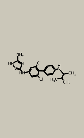 CC(C)C(C)Nc1ccc(-c2c(Cl)cc(Nc3n[nH]c(N)n3)cc2Cl)cc1